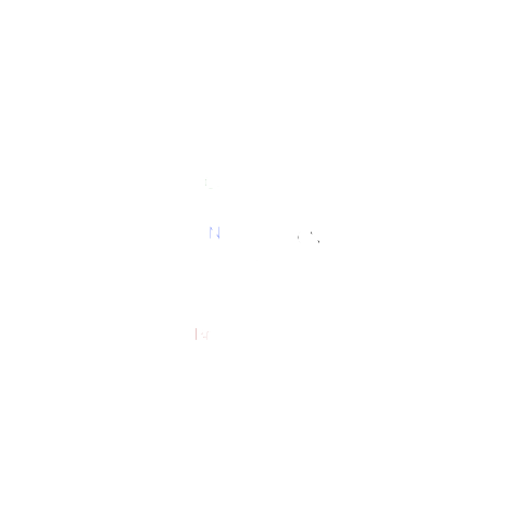 N#Cc1cc(Cl)nc2cc(Br)ccc12